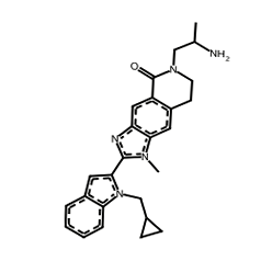 CC(N)CN1CCc2cc3c(cc2C1=O)nc(-c1cc2ccccc2n1CC1CC1)n3C